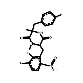 CN1C(=O)C(C)(Cc2ccc(F)cc2)NC(=O)C1Cc1c([N+](=O)[O-])ccc(F)c1F